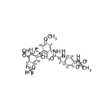 COc1cc(NC(=O)c2cc3ccc(NS(C)(=O)=O)cc3[nH]2)cc(C(C)(C)c2cc(OC)cc(OC(F)(F)F)c2)c1